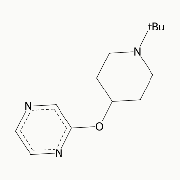 CC(C)(C)N1CCC(Oc2cnccn2)CC1